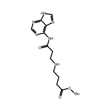 CC(C)(C)OC(=O)CCCNCCC(=O)Nc1ncnc2[nH]cnc12